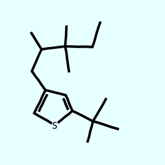 CCC(C)(C)C(C)Cc1csc(C(C)(C)C)c1